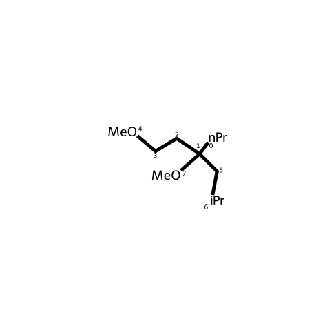 CCCC(CCOC)(CC(C)C)OC